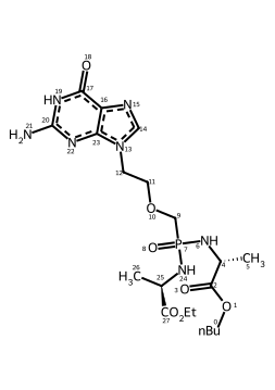 CCCCOC(=O)[C@@H](C)NP(=O)(COCCn1cnc2c(=O)[nH]c(N)nc21)N[C@H](C)C(=O)OCC